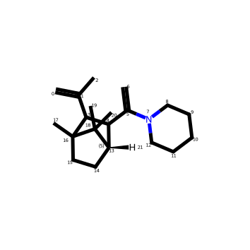 C=C(C)C1C(C(=C)N2CCCCC2)[C@@H]2CCC1(C)C2(C)C